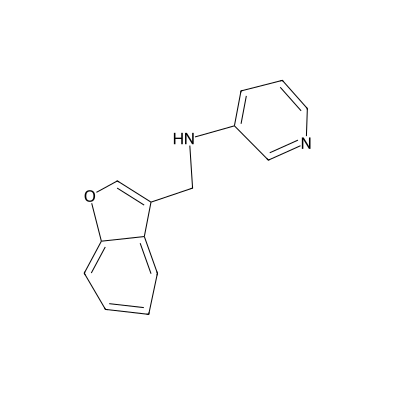 c1cncc(NCc2coc3ccccc23)c1